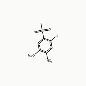 COc1cc(S(C)(=O)=O)c(Cl)cc1[N+](=O)[O-]